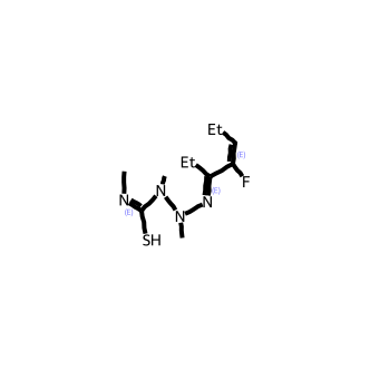 CC/C=C(F)\C(CC)=N\N(C)N(C)/C(S)=N\C